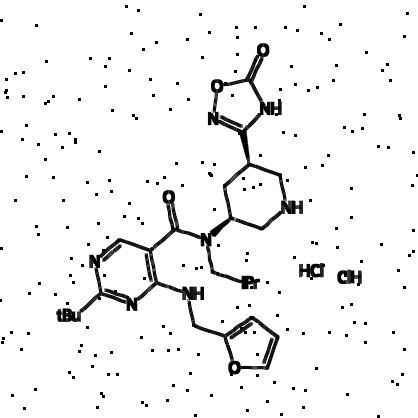 CC(C)CN(C(=O)c1cnc(C(C)(C)C)nc1NCc1ccco1)[C@@H]1CNC[C@H](c2noc(=O)[nH]2)C1.Cl.Cl